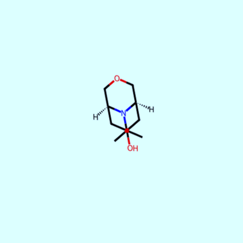 CC(C)N1[C@@H]2COC[C@H]1CC(O)C2